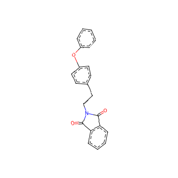 O=C1c2ccccc2C(=O)N1CCc1ccc(Oc2ccccc2)cc1